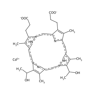 CC1=C(CCC(=O)[O-])c2cc3[nH]c(cc4nc(cc5[nH]c(cc1n2)c(C)c5C(C)O)C(C)=C4C(C)O)c(C)c3CCC(=O)[O-].[Cd+2]